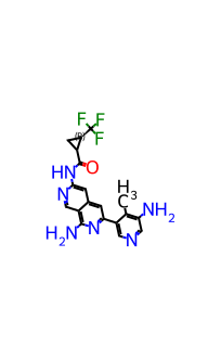 Cc1c(N)cncc1-c1cc2cc(NC(=O)C3C[C@H]3C(F)(F)F)ncc2c(N)n1